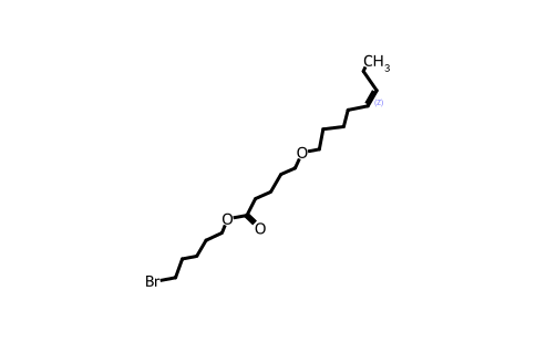 CC/C=C\CCCCOCCCCC(=O)OCCCCCBr